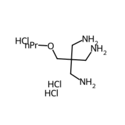 C[CH]COCC(CN)(CN)CN.Cl.Cl.Cl